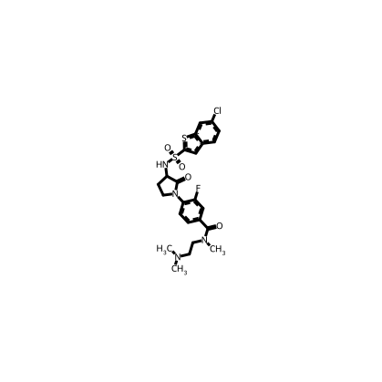 CN(C)CCN(C)C(=O)c1ccc(N2CCC(NS(=O)(=O)c3cc4ccc(Cl)cc4s3)C2=O)c(F)c1